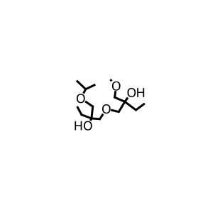 CCC(O)(COC)COCC(O)(CC)COC(C)C